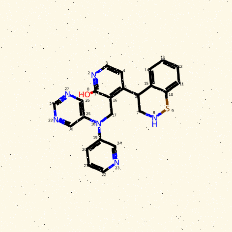 Oc1nccc(C2CNSc3ccccc32)c1CN(c1cccnc1)c1cncnc1